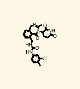 CC1=NCc2cccc(CNC(=O)Nc3ccc(C)c(Cl)c3)c2C(=O)N1C1CCC(=O)NC1=O